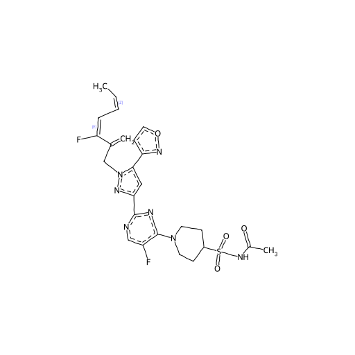 C=C(Cn1nc(-c2ncc(F)c(N3CCC(S(=O)(=O)NC(C)=O)CC3)n2)cc1-c1ccon1)/C(F)=C\C=C/C